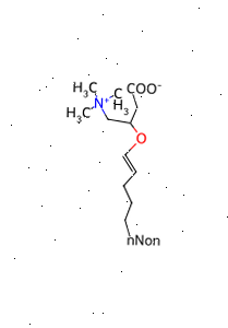 CCCCCCCCCCCCC=COC(CC(=O)[O-])C[N+](C)(C)C